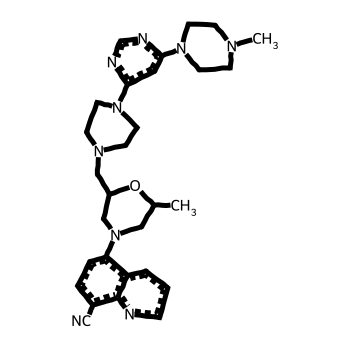 CC1CN(c2ccc(C#N)c3ncccc23)CC(CN2CCN(c3cc(N4CCN(C)CC4)ncn3)CC2)O1